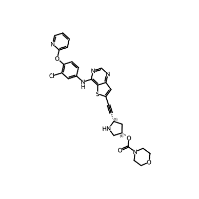 O=C(O[C@@H]1CN[C@H](C#Cc2cc3ncnc(Nc4ccc(Oc5ccccn5)c(Cl)c4)c3s2)C1)N1CCOCC1